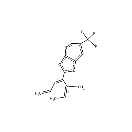 C=C/C=C(\C(C)=C/C)c1nc2cc(C(F)(F)F)cnc2o1